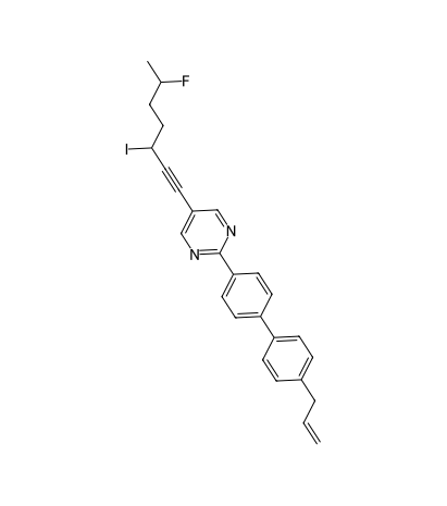 C=CCc1ccc(-c2ccc(-c3ncc(C#CC(I)CCC(C)F)cn3)cc2)cc1